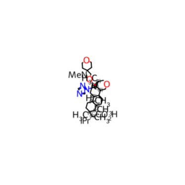 CNC1(CO[C@H]2[C@H](n3cncn3)C[C@@]34COC[C@@]2(C)[C@@H]3CC[C@H]2C4=CC[C@@]3(C)[C@H](C(=O)O)[C@@](C)([C@H](C)C(C)C)CC[C@]23C)CCOCC1